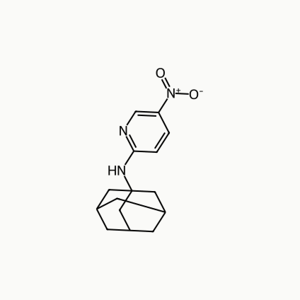 O=[N+]([O-])c1ccc(NC23CC4CC(CC(C4)C2)C3)nc1